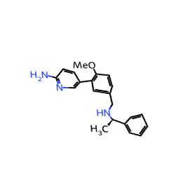 COc1ccc(CN[C@H](C)c2ccccc2)cc1-c1ccc(N)nc1